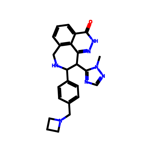 Cn1ncnc1C1c2n[nH]c(=O)c3cccc(c23)CNC1c1ccc(CN2CCC2)cc1